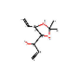 C=CC(O)C1OC(C)(C)O[C@@H]1C=C